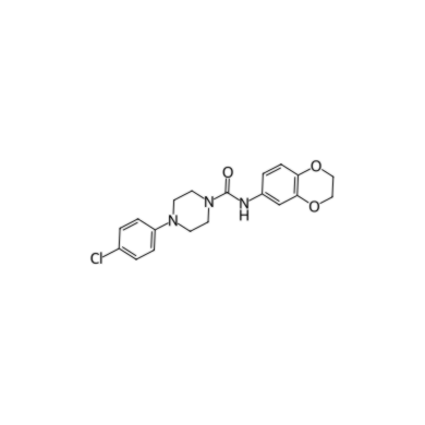 O=C(Nc1ccc2c(c1)OCCO2)N1CCN(c2ccc(Cl)cc2)CC1